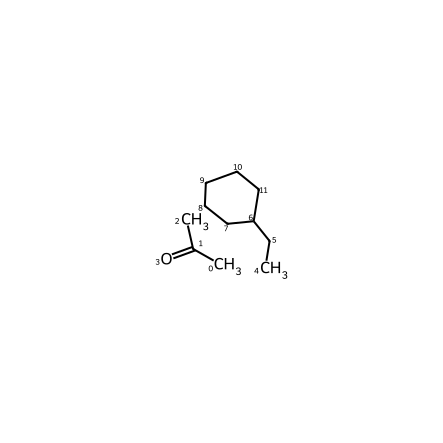 CC(C)=O.CCC1CCCCC1